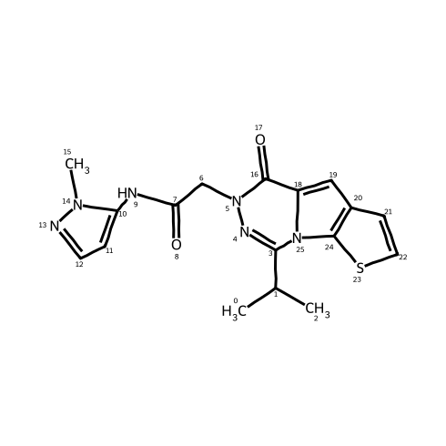 CC(C)c1nn(CC(=O)Nc2ccnn2C)c(=O)c2cc3ccsc3n12